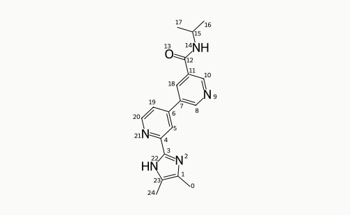 Cc1nc(-c2cc(-c3cncc(C(=O)NC(C)C)c3)ccn2)[nH]c1C